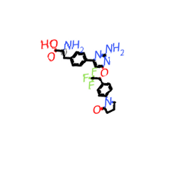 Nc1nc(OC(c2ccc(N3CCCC3=O)cc2)C(F)(F)F)cc(-c2ccc(C[C@H](N)C(=O)O)cc2)n1